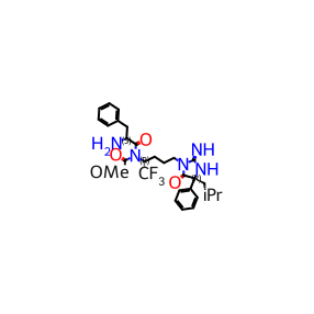 COC(=O)N(C(=O)[C@@H](N)Cc1ccccc1)[C@H](CCCN1C(=N)N[C@](CC(C)C)(c2ccccc2)C1=O)C(F)(F)F